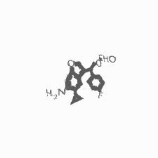 Nc1cc2occ(C(COC=O)c3ccc(F)cc3)c2cc1C1CC1